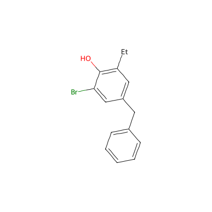 CCc1cc(Cc2ccccc2)cc(Br)c1O